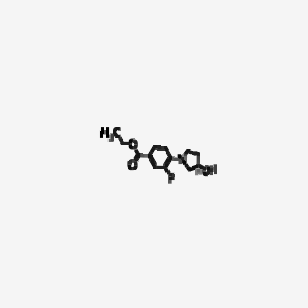 CCOC(=O)c1ccc(N2CC[C@@H](O)C2)c(F)c1